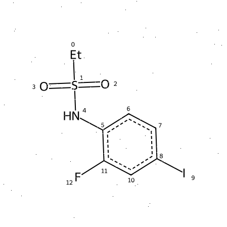 CCS(=O)(=O)Nc1ccc(I)cc1F